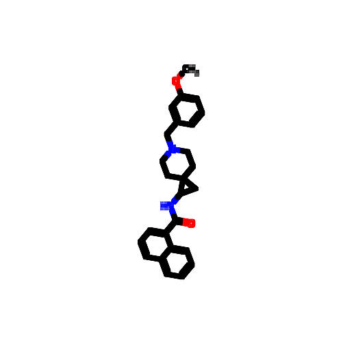 COc1cccc(CN2CCC3(CC2)CC3NC(=O)c2cccc3ccccc23)c1